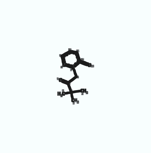 CC(C)(C)C(=O)Cn1ncccc1=O